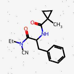 CCN(C#N)C(=O)C(Cc1ccccc1)NC(=O)C1(C)CC1